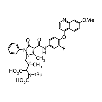 COc1ccc2c(Oc3ccc(NC(=O)c4c(C)n(C[C@H](C)C(C(=O)O)N(C(=O)O)C(C)(C)C)n(-c5ccccc5)c4=O)cc3F)ccnc2c1